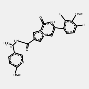 COc1ccc([C@@H](C)NC(=O)c2cc3c(=O)[nH]c(-c4ccc(Cl)c(OC)c4F)cn3c2)cn1